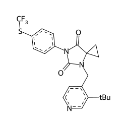 CC(C)(C)c1cnccc1CN1C(=O)N(c2ccc(SC(F)(F)F)cc2)C(=O)C12CC2